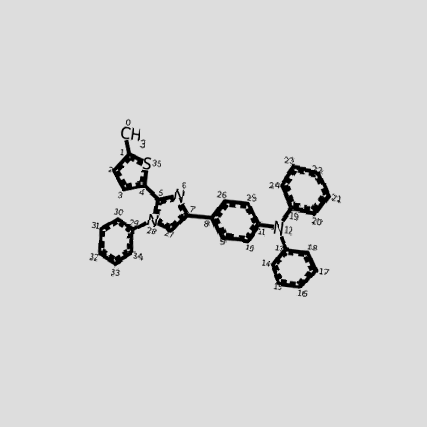 Cc1ccc(-c2nc(-c3ccc(N(c4ccccc4)c4ccccc4)cc3)cn2-c2ccccc2)s1